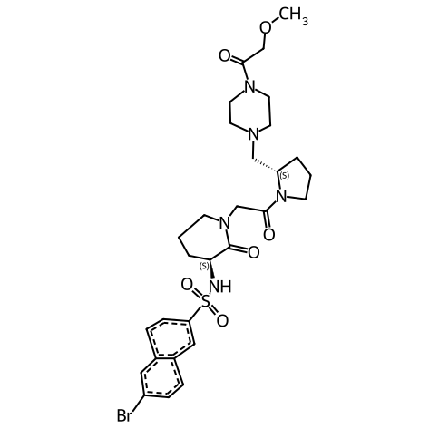 COCC(=O)N1CCN(C[C@@H]2CCCN2C(=O)CN2CCC[C@H](NS(=O)(=O)c3ccc4cc(Br)ccc4c3)C2=O)CC1